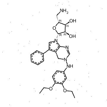 CCOc1ccc(NN2C=Nc3c(c(-c4ccccc4)cn3[C@@H]3O[C@H](CN)[C@@H](O)[C@H]3O)C2)cc1OCC